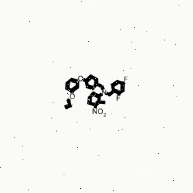 C=CCOc1cccc(Oc2ccc(CN(Cc3ccc(F)cc3F)c3cccc([N+](=O)[O-])c3C)cc2)c1